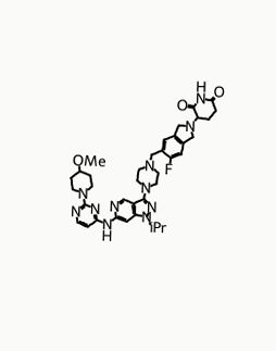 COC1CCN(c2nccc(Nc3cc4c(cn3)c(N3CCN(Cc5cc6c(cc5F)CN(C5CCC(=O)NC5=O)C6)CC3)nn4C(C)C)n2)CC1